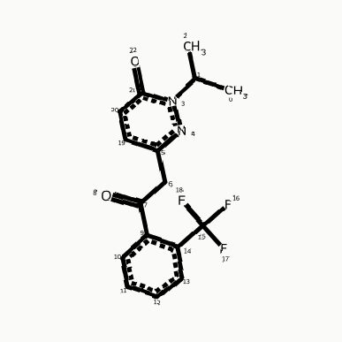 CC(C)n1nc(CC(=O)c2ccccc2C(F)(F)F)ccc1=O